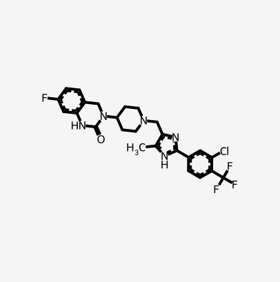 Cc1[nH]c(-c2ccc(C(F)(F)F)c(Cl)c2)nc1CN1CCC(N2Cc3ccc(F)cc3NC2=O)CC1